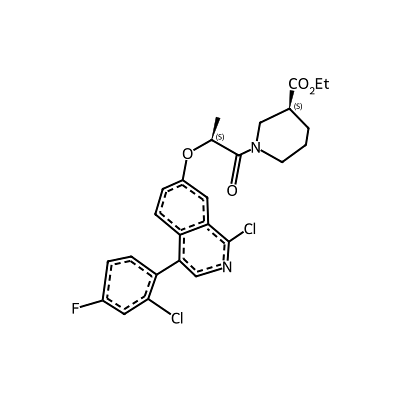 CCOC(=O)[C@H]1CCCN(C(=O)[C@H](C)Oc2ccc3c(-c4ccc(F)cc4Cl)cnc(Cl)c3c2)C1